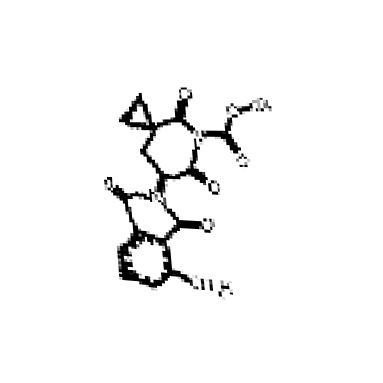 CC(C)(C)OC(=O)N1C(=O)C(N2C(=O)c3cccc(C(=O)O)c3C2=O)CC2(CC2)C1=O